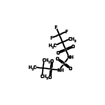 CC(C)(C)S(=O)(=O)NS(=O)(=O)NS(=O)(=O)C(C)(C)C(F)(F)F